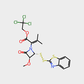 CO[C@H]1C(=O)N(C(C(=O)OCC(Cl)(Cl)Cl)=C(C)C)[C@@H]1SSc1nc2ccccc2s1